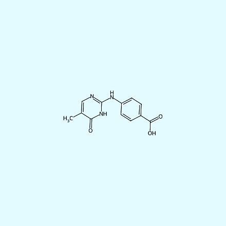 Cc1cnc(Nc2ccc(C(=O)O)cc2)[nH]c1=O